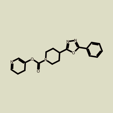 O=C(OC1=CN=CCC1)N1CCC(c2nnc(-c3ccccc3)o2)CC1